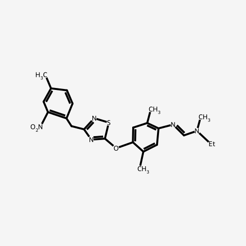 CCN(C)C=Nc1cc(C)c(Oc2nc(Cc3ccc(C)cc3[N+](=O)[O-])ns2)cc1C